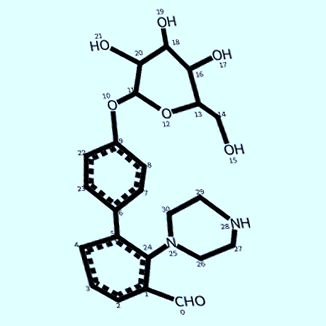 O=Cc1cccc(-c2ccc(OC3OC(CO)C(O)C(O)C3O)cc2)c1N1CCNCC1